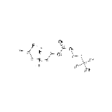 CCC(F)(F)CCOC(=O)OCCC(F)(F)CC(F)F